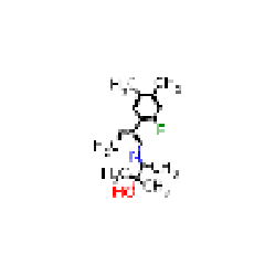 C=C/C(=C\N=C(/C)C(C)(C)O)c1cc(C)c(C)cc1F